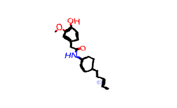 C/C=C/CCC1CCC(NC(=O)Cc2ccc(O)c(OC)c2)CC1